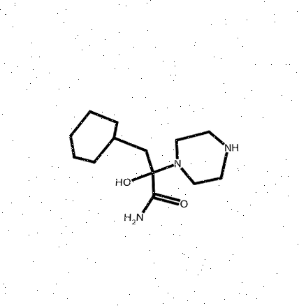 NC(=O)C(O)(CC1CCCCC1)N1CCNCC1